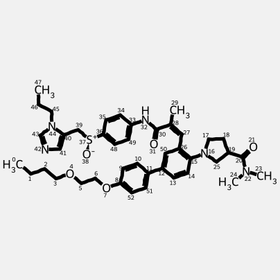 CCCCOCCOc1ccc(-c2ccc(N3CCC(C(=O)N(C)C)C3)c(C=C(C)C(=O)Nc3ccc([S@@+]([O-])Cc4cncn4CCC)cc3)c2)cc1